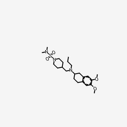 CCCN(CC1CCN(S(=O)(=O)N(C)C)CC1)C1CCc2cc(OC)c(OC)cc2C1